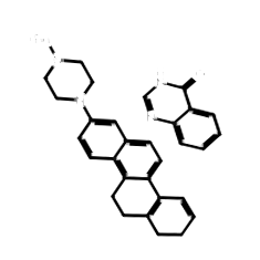 CC(C)(C)N1CCN(c2ccc3c4c(ccc3c2)C2=C(CCC=C2)CC4)CC1.O=c1[nH]cnc2ccccc12